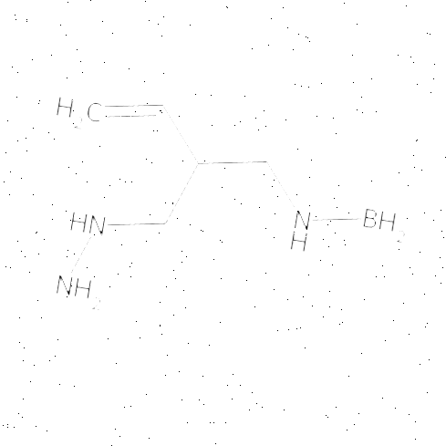 BNCC(C=C)CNN